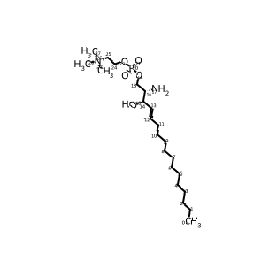 CCCCCCCCCCCC/C=C/[C@@H](O)[C@@H](N)COP(=O)([O-])OCC[N+](C)(C)C